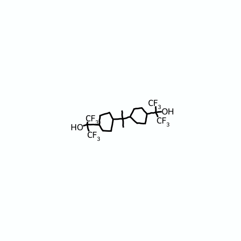 CC(C)(C1CCC(C(O)(C(F)(F)F)C(F)(F)F)CC1)C1CCC(C(O)(C(F)(F)F)C(F)(F)F)CC1